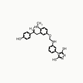 C=C(Cc1cc(OCNc2cccc(-n3c(S)nnc3S)c2)ccc1NC)c1ccc(O)cc1